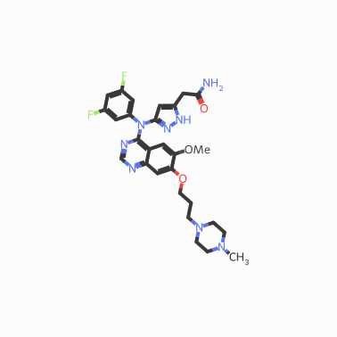 COc1cc2c(N(c3cc(F)cc(F)c3)c3cc(CC(N)=O)[nH]n3)ncnc2cc1OCCCN1CCN(C)CC1